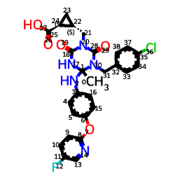 CC1(Nc2ccc(Oc3ccc(F)cn3)cc2)NC(=O)N(C[C@H]2C[C@@H]2C(=O)O)C(=O)N1Cc1ccc(Cl)cc1